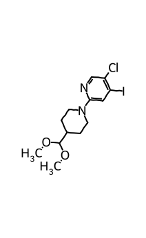 COC(OC)C1CCN(c2cc(I)c(Cl)cn2)CC1